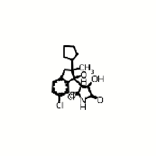 CC1(C2CCCC2)Cc2ccc(Cl)c(Cl)c2C1(O)C1=C(O)C(=O)NC1=O